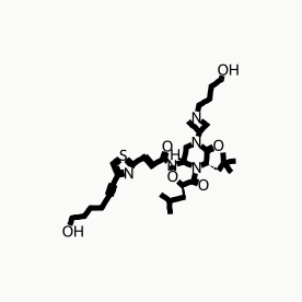 CC(C)C[C@H]1ON(C(=O)/C=C/c2nc(C#CCCCCO)cs2)[C@H]2CN(C3CN(CCCCO)C3)C(=O)[C@H](CC(C)(C)C)N2C1=O